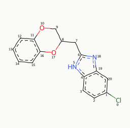 Clc1ccc2[nH]c(CC3COc4ccccc4O3)nc2c1